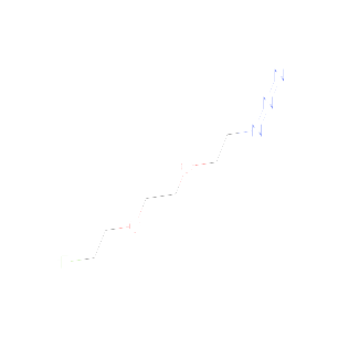 [N-]=[N+]=NCCOCCOCC[18F]